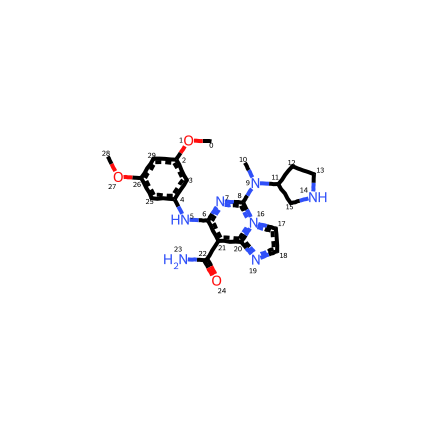 COc1cc(Nc2nc(N(C)C3CCNC3)n3ccnc3c2C(N)=O)cc(OC)c1